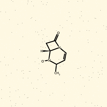 CC1C=CN2C(=O)C[C@H]2[S+]1[O-]